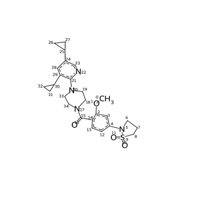 COc1cc(N2CCCS2(=O)=O)ccc1C(=O)N1CCN(c2ncc(C3CC3)cc2C2CC2)CC1